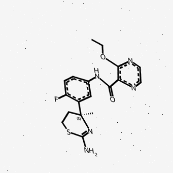 CCOc1nccnc1C(=O)Nc1ccc(F)c([C@]2(C)CCSC(N)=N2)c1